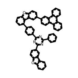 c1ccc(-c2nc(-c3ccc(-c4cccc5oc6ccc(-c7ccc8c9ccccc9c9ccccc9c8c7)cc6c45)cc3)nc(-c3ccc4oc5ccccc5c4c3)n2)cc1